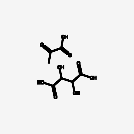 CC(=O)C(=O)O.O=C(O)C(O)C(O)C(=O)O